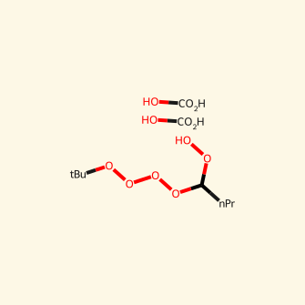 CCCC(OO)OOOOC(C)(C)C.O=C(O)O.O=C(O)O